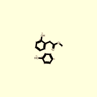 COC(=O)Cc1ccccc1O.Oc1ccccc1